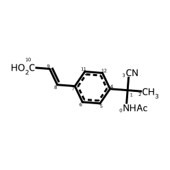 CC(=O)NC(C)(C#N)c1ccc(C=CC(=O)O)cc1